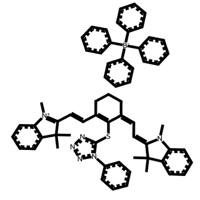 CN1C(=CC=C2CCCC(C=CC3=[N+](C)c4ccccc4C3(C)C)=C2Sc2nnnn2-c2ccccc2)C(C)(C)c2ccccc21.c1ccc([B-](c2ccccc2)(c2ccccc2)c2ccccc2)cc1